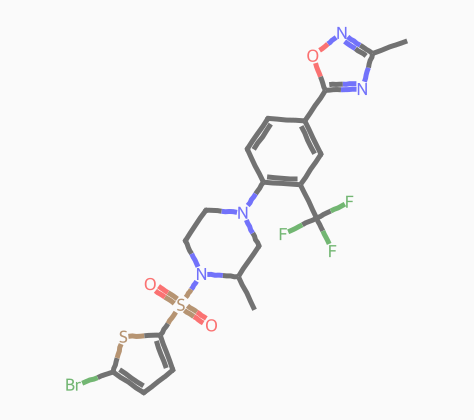 Cc1noc(-c2ccc(N3CCN(S(=O)(=O)c4ccc(Br)s4)C(C)C3)c(C(F)(F)F)c2)n1